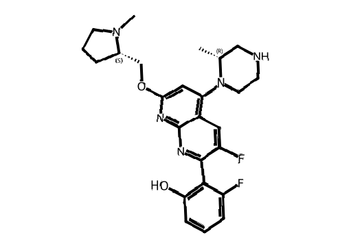 C[C@@H]1CNCCN1c1cc(OC[C@@H]2CCCN2C)nc2nc(-c3c(O)cccc3F)c(F)cc12